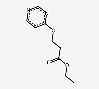 CCOC(=O)CCOc1c[c]ncn1